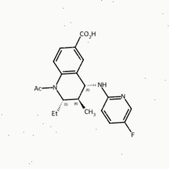 CC[C@H]1[C@H](C)[C@@H](Nc2ccc(F)cn2)c2cc(C(=O)O)ccc2N1C(C)=O